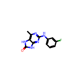 Cc1nc(Nc2cccc(F)c2)nc2[nH]c(=O)[nH]c12